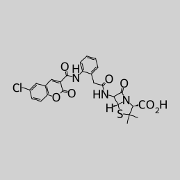 CC1(C)S[C@@H]2C(NC(=O)Cc3ccccc3NC(=O)c3cc4cc(Cl)ccc4oc3=O)C(=O)N2[C@H]1C(=O)O